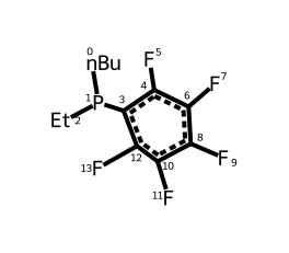 CCCCP(CC)c1c(F)c(F)c(F)c(F)c1F